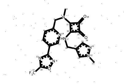 CN(Cc1ccc(-c2noc(C(F)(F)F)n2)cn1)c1c(NCc2cnn(C)c2)c(=O)c1=O